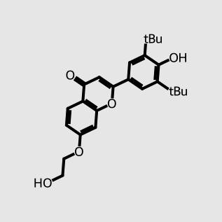 CC(C)(C)c1cc(-c2cc(=O)c3ccc(OCCO)cc3o2)cc(C(C)(C)C)c1O